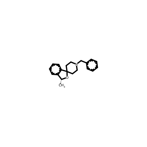 C[C@H]1OC2(CCN(Cc3ccccc3)CC2)c2ccccc21